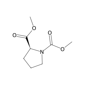 COC(=O)[C@@H]1CCCN1C(=O)OC